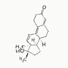 C[C@]1(O)CC[C@@H]2[C@@H]3CCC4=CC(=O)CCC4=C3C=C[C@@]21C